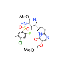 COCCOc1cnc2ccc(C3C=NC(OC)=C(NS(=O)(=O)c4cc(C)c(Cl)cc4F)C3C)cn2c1=O